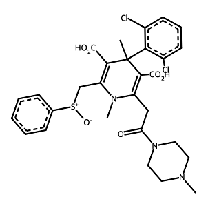 CN1CCN(C(=O)CC2=C(C(=O)O)C(C)(c3c(Cl)cccc3Cl)C(C(=O)O)=C(C[S+]([O-])c3ccccc3)N2C)CC1